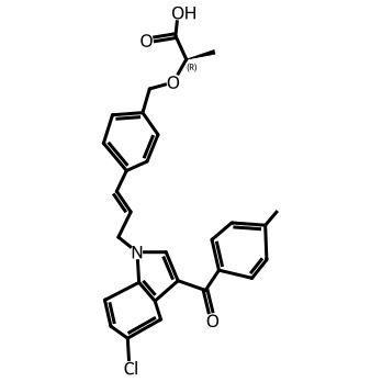 Cc1ccc(C(=O)c2cn(CC=Cc3ccc(CO[C@H](C)C(=O)O)cc3)c3ccc(Cl)cc23)cc1